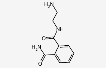 NCCNC(=O)c1ccccc1C(N)=O